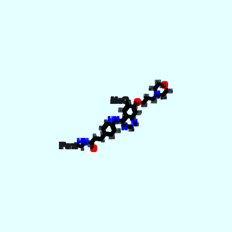 CCCC(C)CNC(=O)/C=C/c1ccc(Nc2ncnc3cc(OCCCN4CCOCC4)c(OC)cc23)cc1